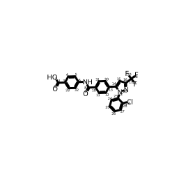 O=C(O)c1ccc(NC(=O)c2ccc(-c3cc(C(F)(F)F)nn3-c3ccccc3Cl)cc2)cc1